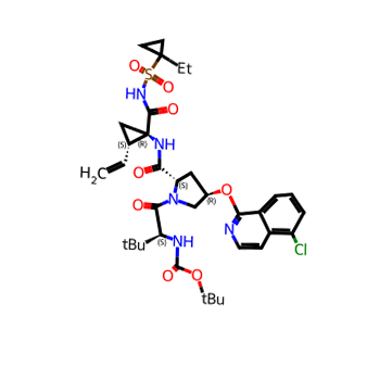 C=C[C@@H]1C[C@]1(NC(=O)[C@@H]1C[C@@H](Oc2nccc3c(Cl)cccc23)CN1C(=O)[C@@H](NC(=O)OC(C)(C)C)C(C)(C)C)C(=O)NS(=O)(=O)C1(CC)CC1